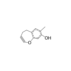 Cc1cc2c(cc1O)OC#CCC2